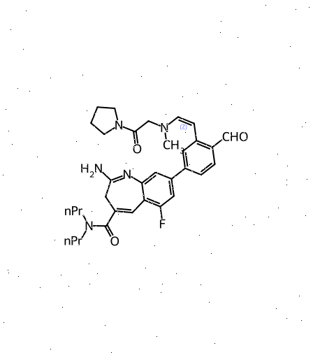 CCCN(CCC)C(=O)C1=Cc2c(F)cc(-c3ccc(C=O)c(/C=C\N(C)CC(=O)N4CCCC4)c3)cc2N=C(N)C1